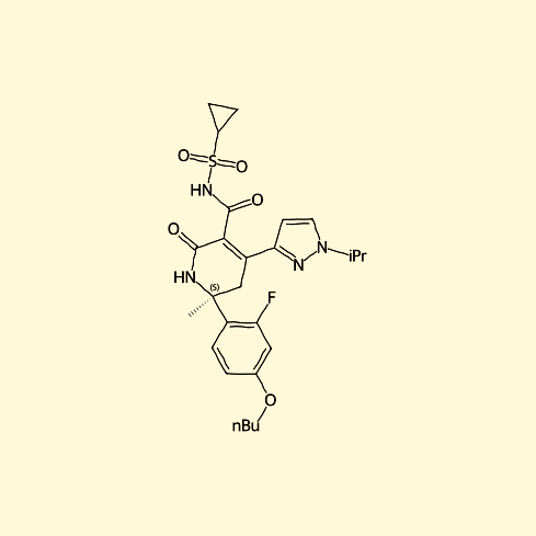 CCCCOc1ccc([C@]2(C)CC(c3ccn(C(C)C)n3)=C(C(=O)NS(=O)(=O)C3CC3)C(=O)N2)c(F)c1